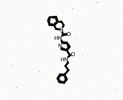 O=C(NCCCc1ccccc1)c1ccc(NC(=O)N2CCc3ccccc3C2)nc1